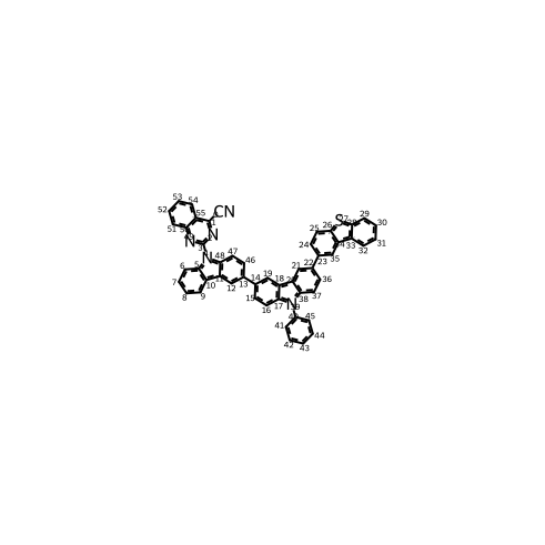 N#Cc1nc(-n2c3ccccc3c3cc(-c4ccc5c(c4)c4cc(-c6ccc7sc8ccccc8c7c6)ccc4n5-c4ccccc4)ccc32)nc2ccccc12